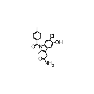 Cc1ccc(C(=O)n2c(C)c(CC(N)=O)c3cc(O)c(Cl)cc32)cc1